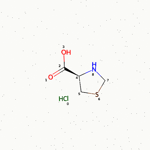 Cl.O=C(O)[C@@H]1CSCN1